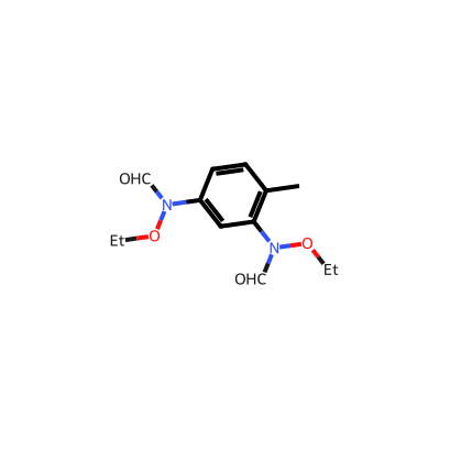 CCON(C=O)c1ccc(C)c(N(C=O)OCC)c1